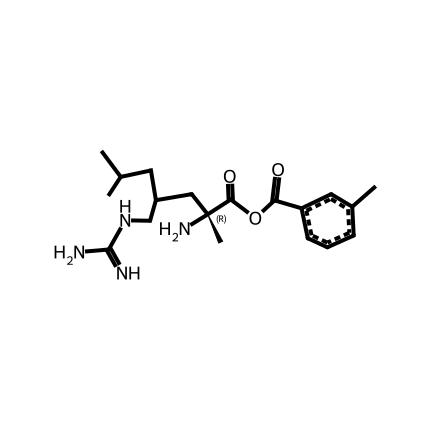 Cc1cccc(C(=O)OC(=O)[C@](C)(N)CC(CNC(=N)N)CC(C)C)c1